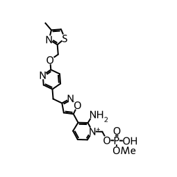 COP(=O)(O)OC[n+]1cccc(-c2cc(Cc3ccc(OCc4nc(C)cs4)nc3)no2)c1N